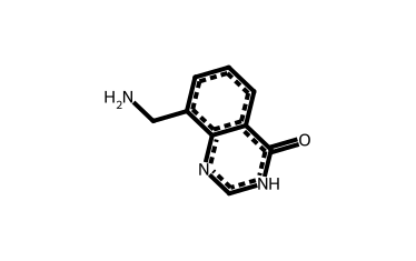 NCc1cccc2c(=O)[nH]cnc12